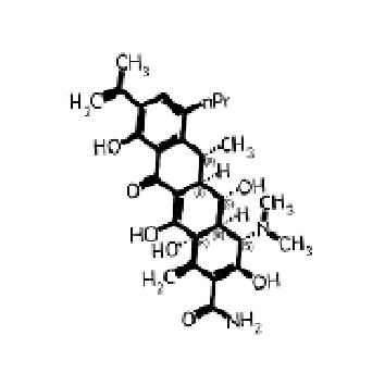 C=C(C)c1cc(CCC)c2c(c1O)C(=O)C1=C(O)[C@]3(O)C(=C)C(C(N)=O)=C(O)[C@@H](N(C)C)[C@@H]3[C@@H](O)[C@@H]1[C@H]2C